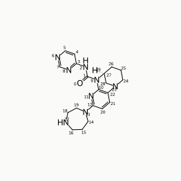 O=C(Nc1ccncn1)N1c2nc(N3CCCNCC3)ccc2N2CCC[C@H]1C2